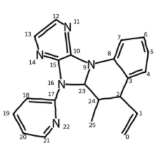 C=CC1c2ccccc2N2c3nccnc3N(c3ccccn3)C2C1C